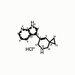 C1=C(c2c[nH]c3ncccc23)CNCC12CC2.Cl